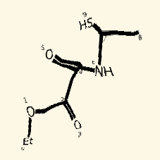 CCOC(=O)C(=O)NC(C)S